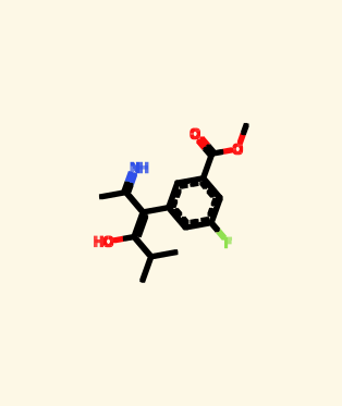 COC(=O)c1cc(F)cc(/C(C(C)=N)=C(/O)C(C)C)c1